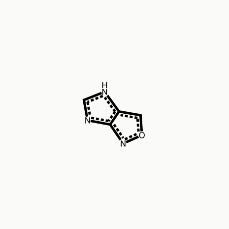 c1nc2nocc2[nH]1